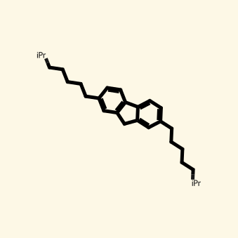 CC(C)CCCCCc1ccc2c(c1)Cc1cc(CCCCCC(C)C)ccc1-2